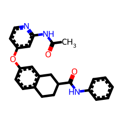 CC(=O)Nc1cc(Oc2ccc3c(c2)CC(C(=O)Nc2ccccc2)CC3)ccn1